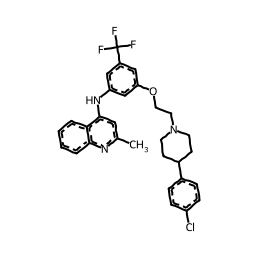 Cc1cc(Nc2cc(OCCN3CCC(c4ccc(Cl)cc4)CC3)cc(C(F)(F)F)c2)c2ccccc2n1